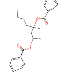 CCCCC(C)(CC(C)OC(=O)c1ccccc1)OC(=O)c1ccccc1